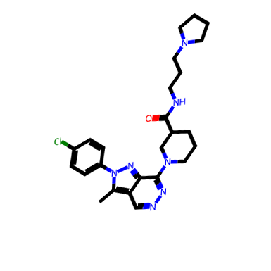 Cc1c2cnnc(N3CCCC(C(=O)NCCCN4CCCC4)C3)c2nn1-c1ccc(Cl)cc1